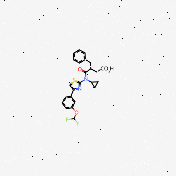 O=C(O)CC(Cc1ccccc1)C(=O)N(c1nc(-c2cccc(OC(F)F)c2)cs1)C1CC1